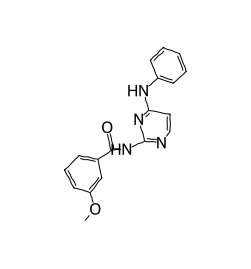 COc1cccc(C(=O)Nc2nccc(Nc3ccccc3)n2)c1